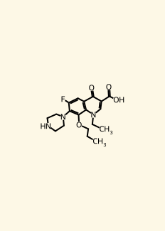 CCCOc1c(N2CCNCC2)c(F)cc2c(=O)c(C(=O)O)cn(CC)c12